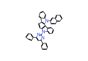 c1ccc(-c2cc(-c3ccccc3)nc(-n3c4ccccc4c4c3ccc3c5ccccc5n(-c5ccc6ccccc6c5)c34)n2)cc1